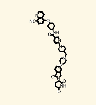 N#Cc1ccc(OC2CCC(NC(=O)c3ccc(N4CCC(CN5CCN(c6ccc7c(c6)CN(C6CCC(=O)NC6=O)C7=O)CC5)CC4)nc3)CC2)c2cccnc12